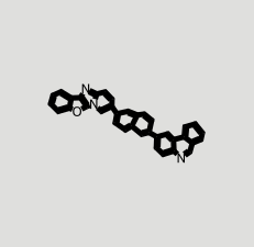 c1ccc2c(c1)cnc1ccc(-c3ccc4cc(-c5ccc6nc7c8ccccc8oc7n6c5)ccc4c3)cc12